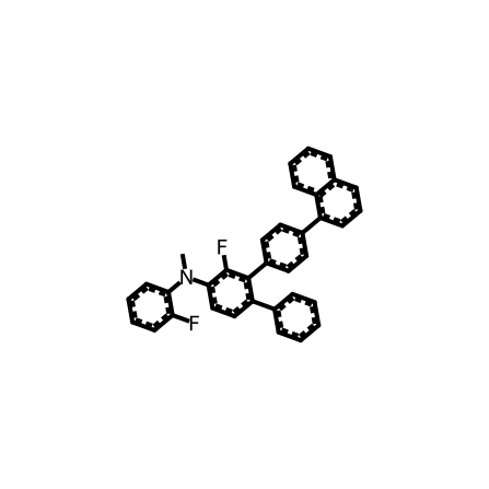 CN(c1ccccc1F)c1ccc(-c2ccccc2)c(-c2ccc(-c3cccc4ccccc34)cc2)c1F